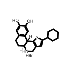 Br.Oc1cc2c(cc1O)[C@@H]1c3sc(C4CCCCC4)cc3CN[C@H]1CC2